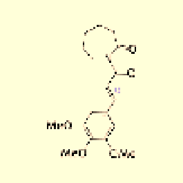 COc1cc(/C=C/C(=O)N2CCCCCC2=O)cc(OC)c1OC